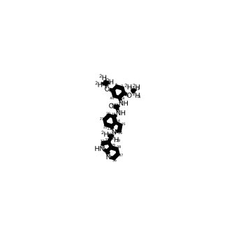 [2H]C([2H])([2H])Oc1ccc(OC([2H])([2H])[2H])c(NC(=O)Nc2cccc3c2ccn3C([2H])([2H])c2c[nH]c3ncccc23)c1